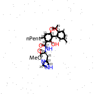 C=C(C)c1ccc(C)cc1-c1c(O)cc(CCCCC)c(C(=O)N[C@@H](Cc2c[nH]cn2)C(=O)OC)c1O